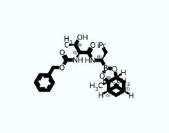 CC(C)C[C@H](NC(=O)[C@@H](NC(=O)OCc1ccccc1)[C@@H](C)O)B1O[C@@H]2C[C@@H]3C[C@@H](C3(C)C)[C@]2(C)O1